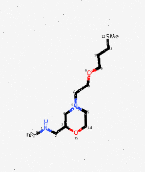 CCCNCC1CN(CCOCCCSC)CCO1